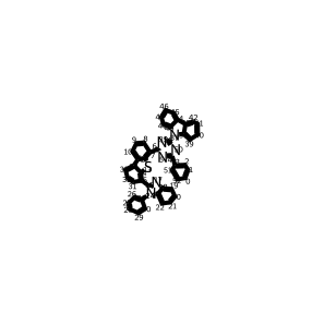 c1ccc(-c2nc(-c3cccc4c3sc3c(-c5nc6ccccc6n5-c5ccccc5)cccc34)nc(-n3c4ccccc4c4ccccc43)n2)cc1